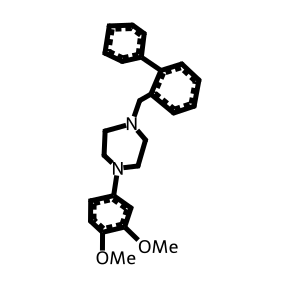 COc1ccc(N2CCN(Cc3ccccc3-c3ccccc3)CC2)cc1OC